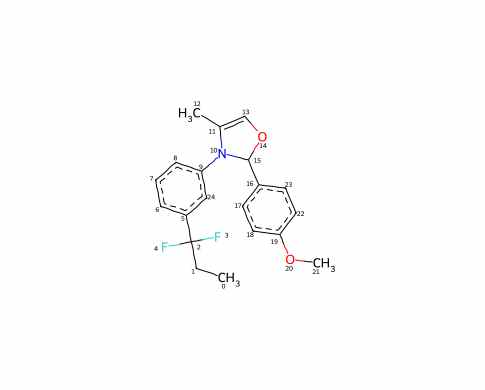 CCC(F)(F)c1cccc(N2C(C)=COC2c2ccc(OC)cc2)c1